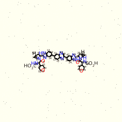 O=C(O)N[C@@H](C(=O)N1C2C[C@@H]2C[C@H]1c1nc2cc(-c3ccc4nc(-c5ccc6[nH]c([C@@H]7C[C@H]8CC8N7C(=O)[C@H](NC(=O)O)C7CCOCC7)nc6c5)cnc4c3)ccc2[nH]1)C1CCOCC1